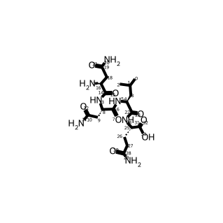 CC(C)C[C@H](NC(=O)[C@H](CC(N)=O)NC(=O)[C@@H](N)CC(N)=O)C(=O)N[C@@H](CCC(N)=O)C(=O)O